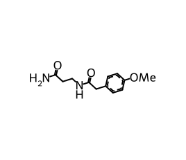 COc1ccc(CC(=O)NCCC(N)=O)cc1